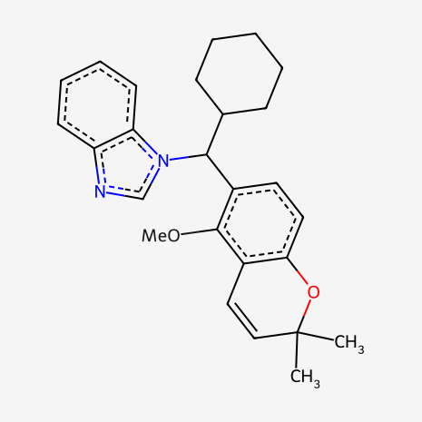 COc1c(C(C2CCCCC2)n2cnc3ccccc32)ccc2c1C=CC(C)(C)O2